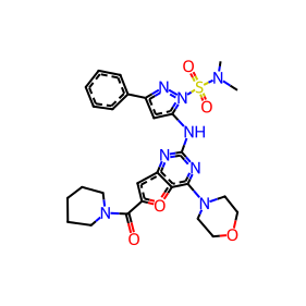 CN(C)S(=O)(=O)n1nc(-c2ccccc2)cc1Nc1nc(N2CCOCC2)c2oc(C(=O)N3CCCCC3)cc2n1